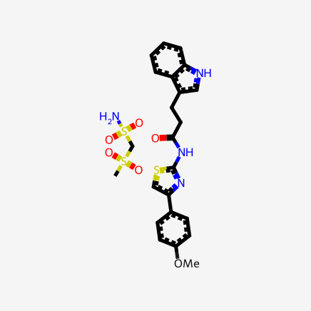 COc1ccc(-c2csc(NC(=O)CCc3c[nH]c4ccccc34)n2)cc1.CS(=O)(=O)CS(N)(=O)=O